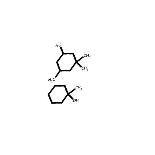 CC1(O)CCCCC1.CC1CC(O)CC(C)(C)C1